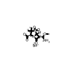 COC(N)[C@H]1C(=O)N2[C@@H](C(=O)[O-])C(C)(C)S(=O)(=O)[C@H]12.[Na+]